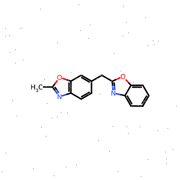 Cc1nc2ccc(Cc3nc4ccccc4o3)cc2o1